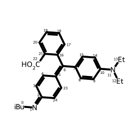 CCC(C)N=C1C=CC(=C(c2ccc(N(CC)CC)cc2)c2ccccc2C(=O)O)C=C1